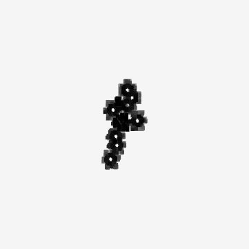 c1ccc(-c2ccc3cc(-c4nc(-c5ccccc5)nc(-c5cccc6sc7c(ccc8ccc9ccccc9c87)c56)n4)ccc3c2)cc1